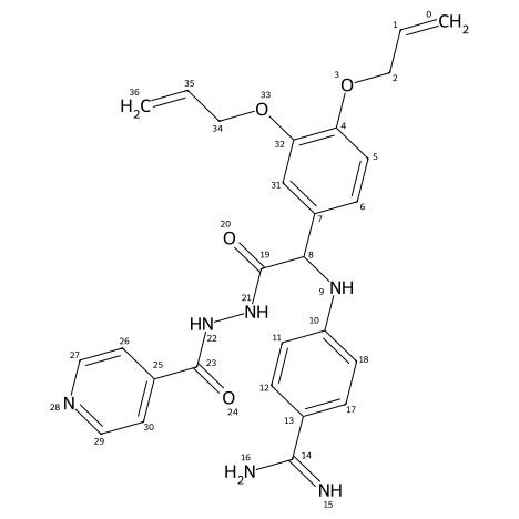 C=CCOc1ccc(C(Nc2ccc(C(=N)N)cc2)C(=O)NNC(=O)c2ccncc2)cc1OCC=C